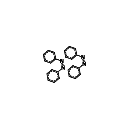 c1ccc(/N=N\c2ccccc2)cc1.c1ccc(/N=N\c2ccccc2)cc1